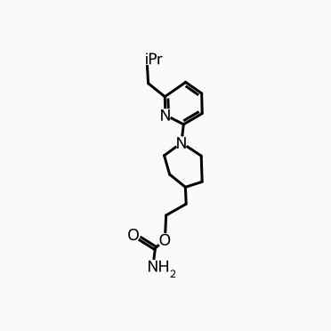 CC(C)Cc1cccc(N2CCC(CCOC(N)=O)CC2)n1